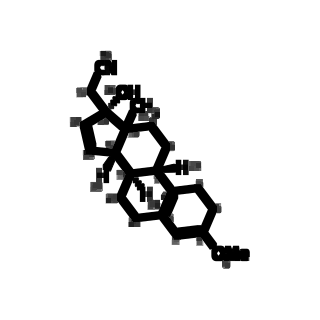 COC1=CC2=C(CC1)[C@H]1CCC3(C)[C@@H](C=C[C@@]3(O)CC#N)[C@@H]1CC2